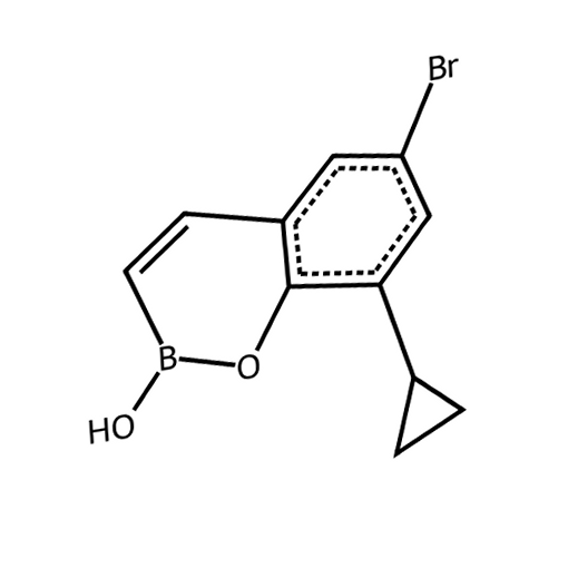 OB1C=Cc2cc(Br)cc(C3CC3)c2O1